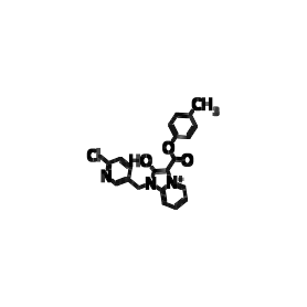 Cc1ccc(OC(=O)c2c(O)n(Cc3ccc(Cl)nc3)c3cccc[n+]23)cc1